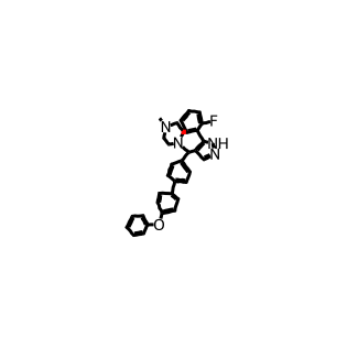 CN1CCN(C(c2ccc(-c3ccc(Oc4ccccc4)cc3)cc2)c2cn[nH]c2-c2ccccc2F)CC1